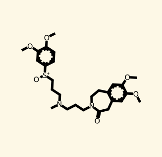 COc1ccc([S+]([O-])CCCN(C)CCCN2CCc3cc(OC)c(OC)cc3CC2=O)cc1OC